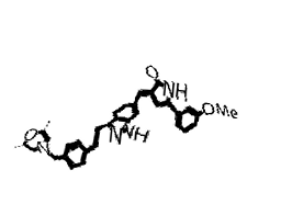 COc1cccc(C2CC(=Cc3ccc4c(C=Cc5ccc(CN6C[C@@H](C)O[C@@H](C)C6)cc5)n[nH]c4c3)C(=O)N2)c1